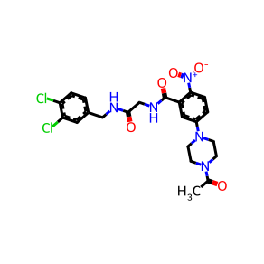 CC(=O)N1CCN(c2ccc([N+](=O)[O-])c(C(=O)NCC(=O)NCc3ccc(Cl)c(Cl)c3)c2)CC1